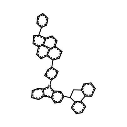 c1ccc(-c2ccc3ccc4c(-c5ccc(-n6c7ccccc7c7ccc(C8Cc9ccccc9-c9ccccc98)cc76)cc5)ccc5ccc2c3c54)cc1